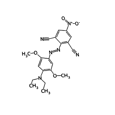 CCN(CC)c1cc(OC)c(N=Nc2c(C#N)cc([N+](=O)[O-])cc2C#N)cc1OC